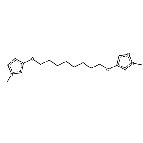 Cn1cc(OCCCCCCCCOc2cnn(C)c2)cn1